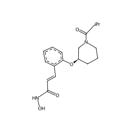 CC(C)C(=O)N1CCC[C@@H](Oc2ccccc2/C=C/C(=O)NO)C1